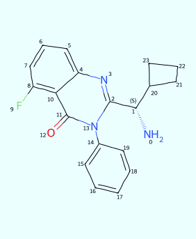 N[C@H](c1nc2cccc(F)c2c(=O)n1-c1ccccc1)C1CCC1